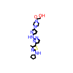 Cc1nc(NC2CCCC2)sc1-c1ccnc(Nc2ccc(N3CCN(C(=O)CO)CC3)cn2)n1